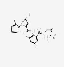 Cc1cccnc1-n1nc(C(F)(F)F)cc1C(=O)Nc1c(C)cc(Cl)cc1C(=O)NCC(C)S(C)(=N)=O